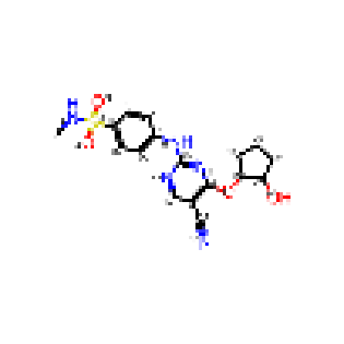 CNS(=O)(=O)c1ccc(Nc2ncc(C#N)c(OC3CCCC3O)n2)cc1